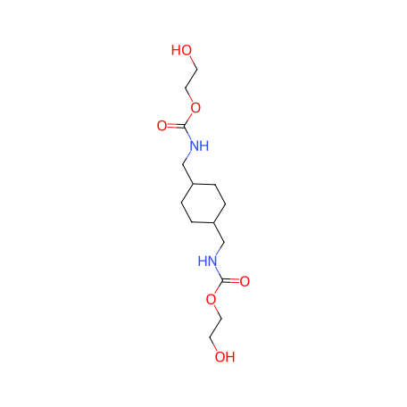 O=C(NCC1CCC(CNC(=O)OCCO)CC1)OCCO